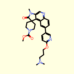 COC(=O)N1CCC2(CC1)C(=O)N(C)c1cnc3ccc(-c4ccc(OCCCN(C)C)nc4)cc3c12